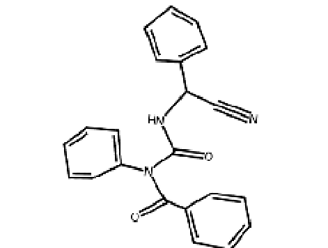 N#CC(NC(=O)N(C(=O)c1ccccc1)c1ccccc1)c1ccccc1